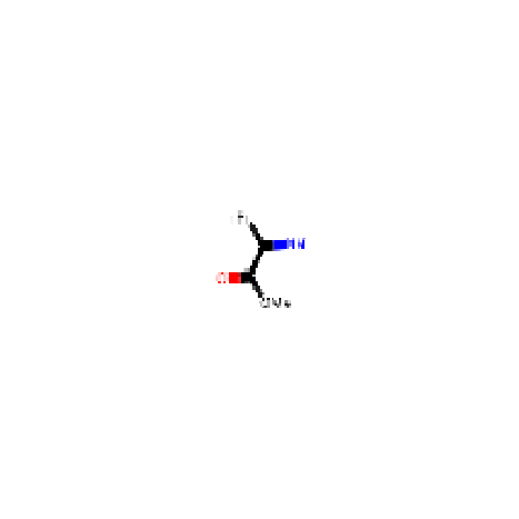 [CH2]CCC(=N)C(=O)OC